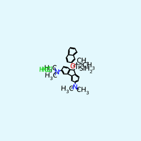 C[CH2][Ti](=[SiH2])([CH2]C)([O]c1ccc2ccccc2c1)[CH]1c2ccc(N(C)C)cc2-c2cc(N(C)C)ccc21.Cl.Cl